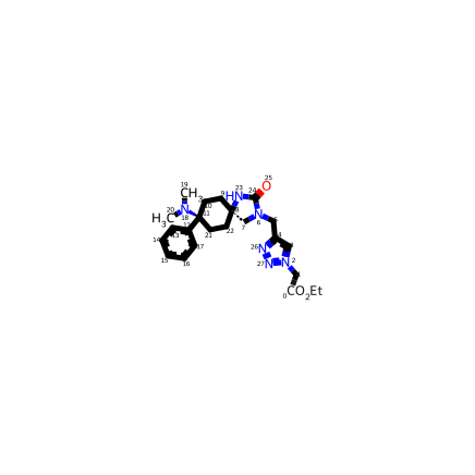 CCOC(=O)Cn1cc(CN2C[C@]3(CC[C@](c4ccccc4)(N(C)C)CC3)NC2=O)nn1